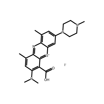 Cc1cc(N2CCN(C)CC2)cc2[s+]c3c(C(=O)O)c(N(C)C)cc(C)c3nc12.[I-]